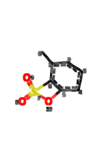 Cc1cccc2c1S(=O)(=O)O2